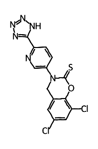 S=C1Oc2c(Cl)cc(Cl)cc2CN1c1ccc(-c2nnn[nH]2)nc1